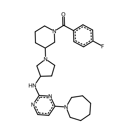 O=C(c1ccc(F)cc1)N1CCCC(N2CCC(Nc3nccc(N4CCCCCC4)n3)C2)C1